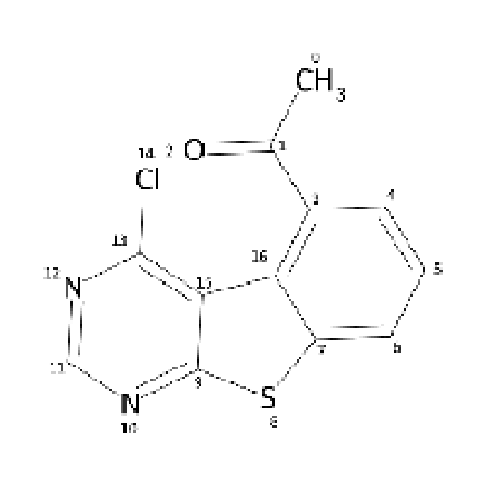 CC(=O)c1cccc2sc3ncnc(Cl)c3c12